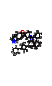 c1ccc(-c2ccc(-c3cccc(N(c4ccc5oc6cc7ccncc7cc6c5c4)c4ccccc4-c4ccccc4)c3)cc2)cc1